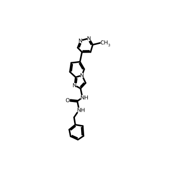 Cc1cc(-c2ccc3nc(NC(=O)NCc4ccccc4)cn3c2)cnn1